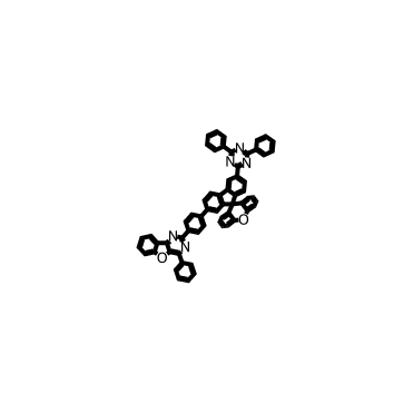 c1ccc(-c2nc(-c3ccccc3)nc(-c3ccc4c(c3)-c3ccc(-c5ccc(-c6nc(-c7ccccc7)c7oc8ccccc8c7n6)cc5)cc3C43c4ccccc4Oc4ccccc43)n2)cc1